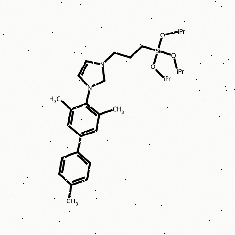 Cc1ccc(-c2cc(C)c(N3C=CN(CCC[Si](OC(C)C)(OC(C)C)OC(C)C)C3)c(C)c2)cc1